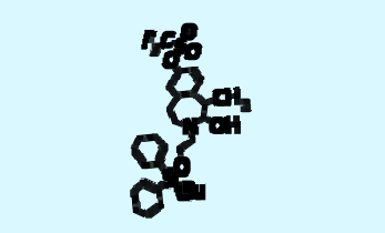 CC1c2ccc(OS(=O)(=O)C(F)(F)F)cc2CCN(CCO[Si](c2ccccc2)(c2ccccc2)C(C)(C)C)C1O